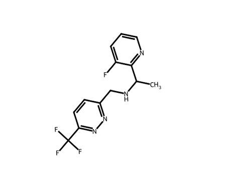 CC(NCc1ccc(C(F)(F)F)nn1)c1ncccc1F